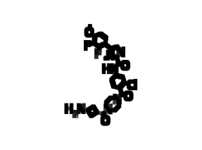 COc1ccc(-c2cnc(C(=O)Nc3ccc(C(=O)N4CCN(C(=O)[C@H]5C[C@@H](N)C5)CC4)c(Cl)c3)n2C)c(F)c1F